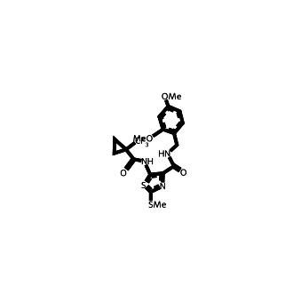 COc1ccc(CNC(=O)c2nc(SC)sc2NC(=O)C2(C(F)(F)F)CC2)c(OC)c1